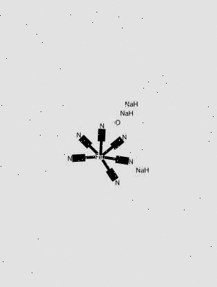 N#[C][Fe]([C]#N)([C]#N)([C]#N)([C]#N)[C]#N.[NaH].[NaH].[NaH].[O]